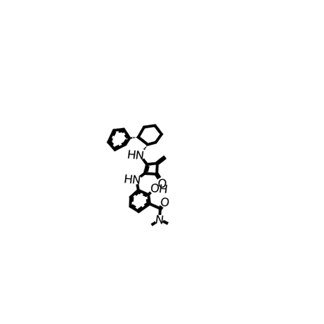 C=C1C(=O)C(Nc2cccc(C(=O)N(C)C)c2O)=C1N[C@H]1CCCC[C@H]1c1ccccc1